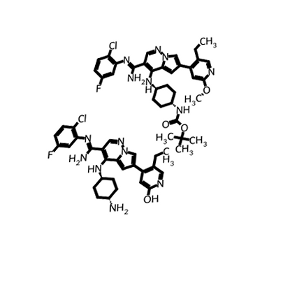 CCc1cnc(O)cc1-c1cc2c(N[C@H]3CC[C@H](N)CC3)c(C(N)=Nc3cc(F)ccc3Cl)cnn2c1.CCc1cnc(OC)cc1-c1cc2c(N[C@H]3CC[C@H](NC(=O)OC(C)(C)C)CC3)c(C(N)=Nc3cc(F)ccc3Cl)cnn2c1